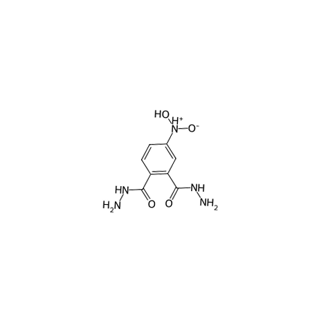 NNC(=O)c1ccc([NH+]([O-])O)cc1C(=O)NN